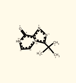 CC(C)(C)c1nnc2c(=O)[nH]ccn12